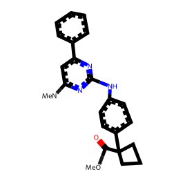 CNc1cc(-c2ccccc2)nc(Nc2ccc(C3(C(=O)OC)CCC3)cc2)n1